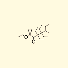 CCOC(=O)C(=O)C(CC)(CC)C(CC)(CC)C(C)CC